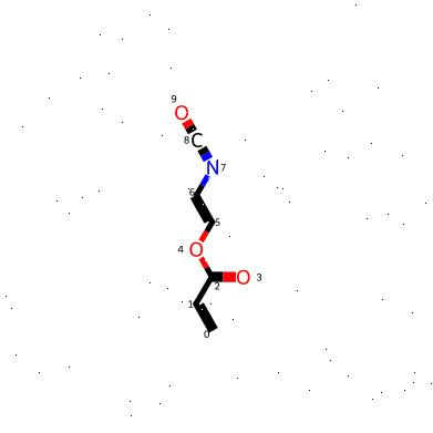 C=CC(=O)OC=CN=C=O